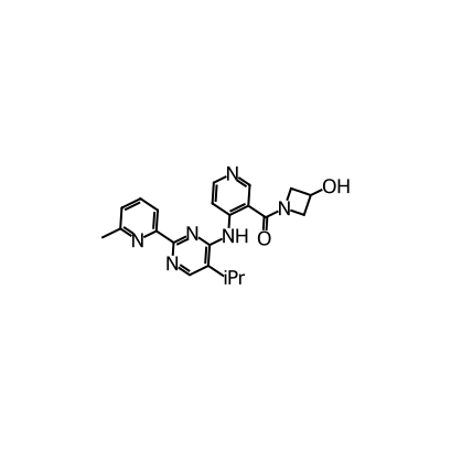 Cc1cccc(-c2ncc(C(C)C)c(Nc3ccncc3C(=O)N3CC(O)C3)n2)n1